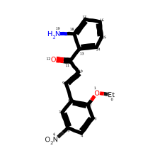 CCOc1ccc([N+](=O)[O-])cc1/C=C/C(=O)c1ccccc1N